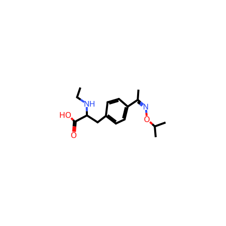 CCNC(Cc1ccc(/C(C)=N\OC(C)C)cc1)C(=O)O